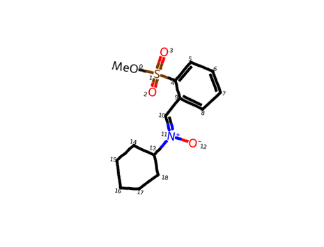 COS(=O)(=O)c1ccccc1C=[N+]([O-])C1CCCCC1